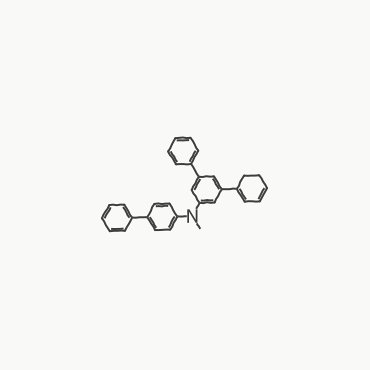 CN(c1ccc(-c2ccccc2)cc1)c1cc(C2=CC=CCC2)cc(-c2ccccc2)c1